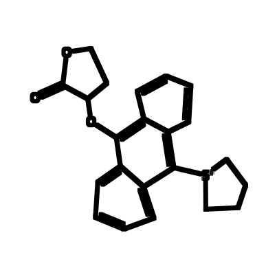 O=C1OCCC1Oc1c2ccccc2c([S+]2CCCC2)c2ccccc12